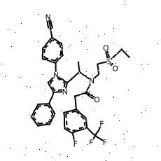 CCS(=O)(=O)CCN(C(=O)Cc1ccc(F)c(C(F)(F)F)c1)C(C)c1nc(-c2ccccc2)cn1-c1ccc(C#N)cc1